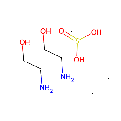 NCCO.NCCO.O=S(O)O